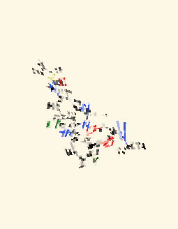 C[C@H](C#N)NC(=O)[C@@H](C)Oc1cc(F)ccc1Nc1ncnc2cc(N=S3(=O)CCC3)cc(Cl)c12